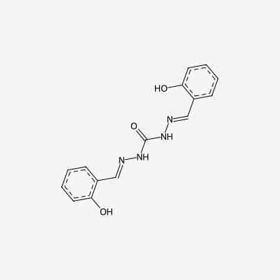 O=C(N/N=C/c1ccccc1O)N/N=C/c1ccccc1O